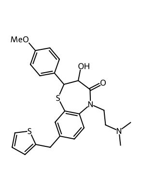 COc1ccc(C2Sc3cc(Cc4cccs4)ccc3N(CCN(C)C)C(=O)C2O)cc1